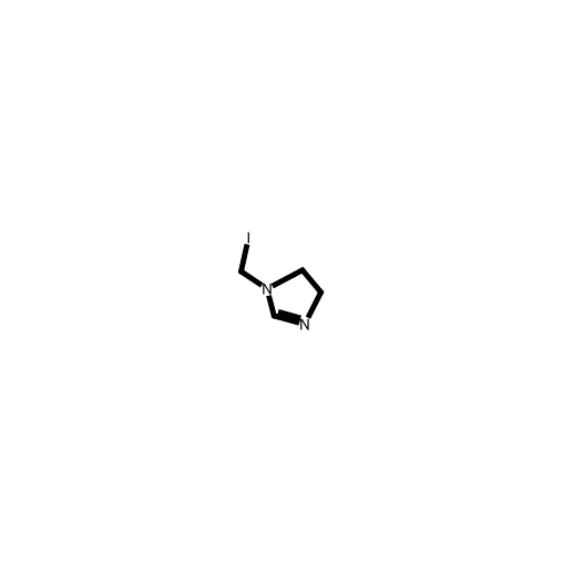 ICN1C=NCC1